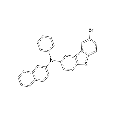 Brc1ccc2sc3ccc(N(c4ccccc4)c4ccc5ccccc5c4)cc3c2c1